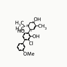 C=C(C)[C@@H]1C[C@H](O)C(C)=C[C@H]1c1c(O)cc(-c2cccc(OC)c2)c(Cl)c1O